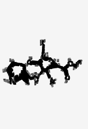 CCn1nc(C(=O)OC(C)C)c(C(C)=O)c(Nc2cccnc2)c1=O